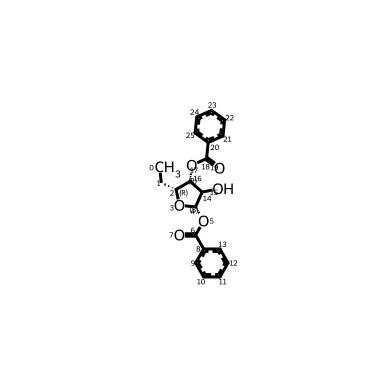 CC[C@H]1O[C@@H](OC(=O)c2ccccc2)C(O)[C@H]1OC(=O)c1ccccc1